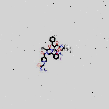 CC(C)C1C(=O)N([C@H](C(N)=O)C(Cc2ccccc2)C(=O)C2=NC(C)(C)CO2)C(c2ccccc2)=CN1C(=O)c1cc[n+](CC(N)=O)cc1.[I-]